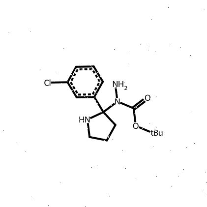 CC(C)(C)OC(=O)N(N)C1(c2cccc(Cl)c2)CCCN1